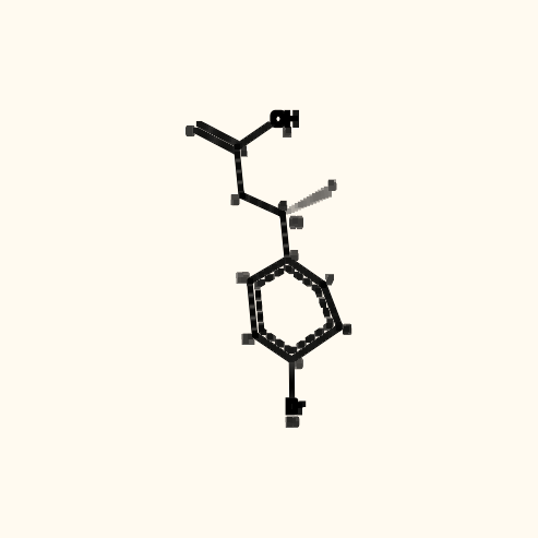 C=C(O)C[C@H](C)c1ccc(Br)cc1